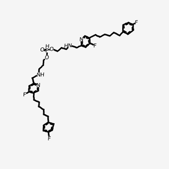 O=[PH](OCCCNCc1cc(F)c(CCCCCCc2ccc(F)cc2)cn1)OCCCNCc1cc(F)c(CCCCCCc2ccc(F)cc2)cn1